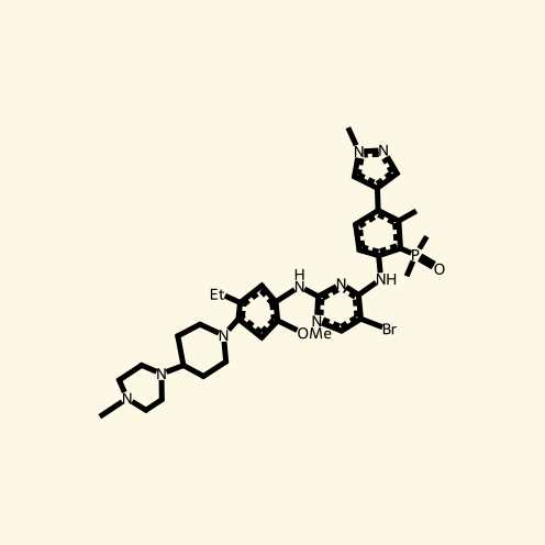 CCc1cc(Nc2ncc(Br)c(Nc3ccc(-c4cnn(C)c4)c(C)c3P(C)(C)=O)n2)c(OC)cc1N1CCC(N2CCN(C)CC2)CC1